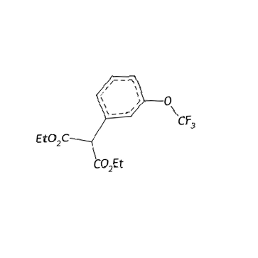 CCOC(=O)C(C(=O)OCC)c1cccc(OC(F)(F)F)c1